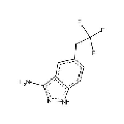 Nc1n[nH]c2ccc(CC(F)(F)F)cc12